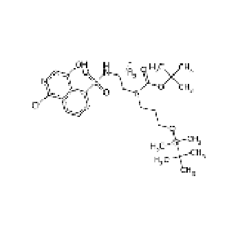 C[C@H](CN(CCCO[Si](C)(C)C(C)(C)C)C(=O)OC(C)(C)C)NS(=O)(=O)c1cccc2c(Cl)ncc(O)c12